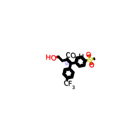 CS(=O)(=O)c1ccc(/C(=C(/CCO)C(=O)O)c2ccc(C(F)(F)F)cc2)cc1